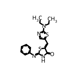 CCN(CC)c1ncc(/C=C2\S/C(=N\c3ccccc3)NC2=O)s1